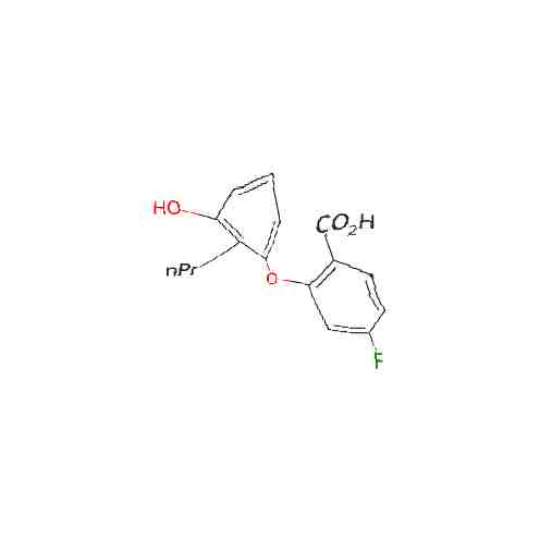 CCCc1c(O)cccc1Oc1cc(F)ccc1C(=O)O